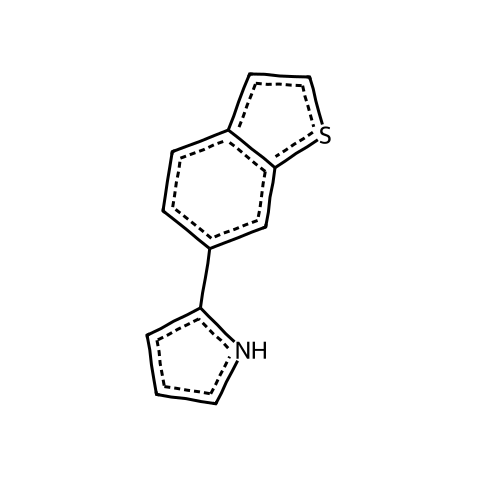 c1c[nH]c(-c2ccc3ccsc3c2)c1